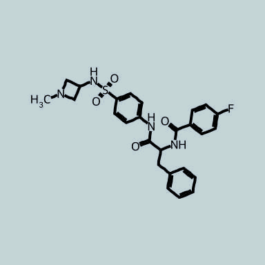 CN1CC(NS(=O)(=O)c2ccc(NC(=O)C(Cc3ccccc3)NC(=O)c3ccc(F)cc3)cc2)C1